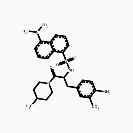 CC1CCN(C(=O)C(Cc2ccc(N)c([N+](=O)[O-])c2)NS(=O)(=O)c2cccc3c(N(C)C)cccc23)CC1